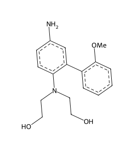 COc1ccccc1-c1cc(N)ccc1N(CCO)CCO